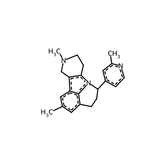 Cc1cc2c3c(c1)c1c(n3C(c3ccnc(C)c3)CC2)CCN(C)C1